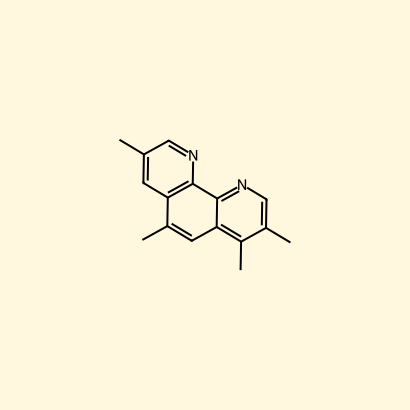 Cc1cnc2c(c1)c(C)cc1c(C)c(C)cnc12